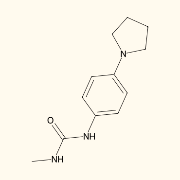 CNC(=O)Nc1ccc(N2CCCC2)cc1